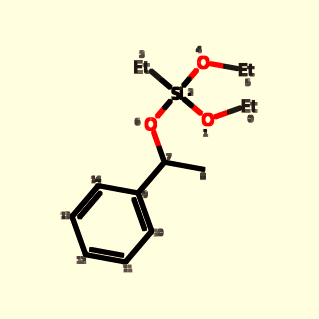 CCO[Si](CC)(OCC)OC(C)c1ccccc1